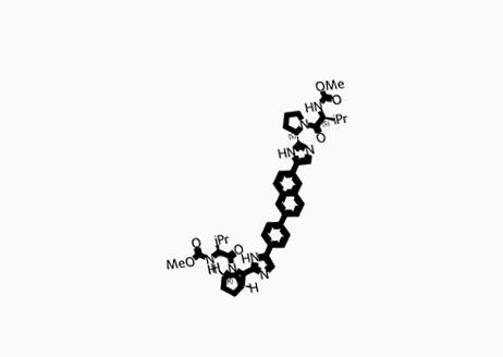 COC(=O)N[C@H](C(=O)N1CCC[C@H]1c1ncc(-c2ccc3cc(-c4ccc(-c5cnc(C6[C@H]7CC[C@H](C7)N6C(=O)[C@@H](NC(=O)OC)C(C)C)[nH]5)cc4)ccc3c2)[nH]1)C(C)C